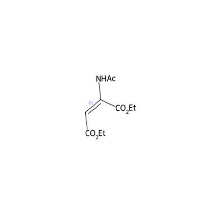 CCOC(=O)/C=C(/NC(C)=O)C(=O)OCC